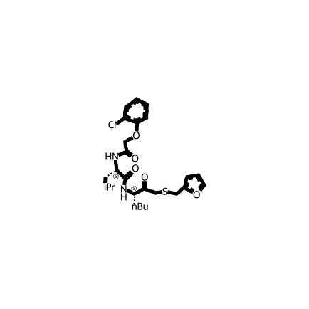 CCCC[C@H](NC(=O)[C@H](CC(C)C)NC(=O)COc1ccccc1Cl)C(=O)CSCc1ccco1